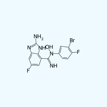 N=C(c1cc(F)cc2nc(N)[nH]c12)N(O)c1ccc(F)c(Br)c1